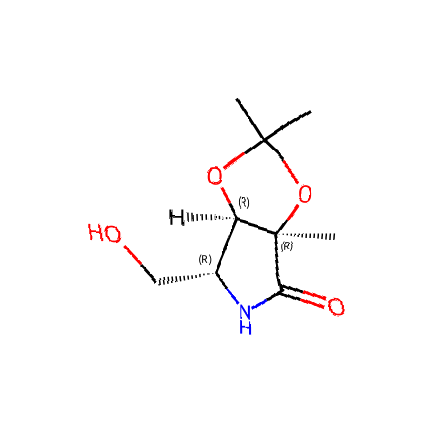 CC1(C)O[C@@H]2[C@@H](CO)NC(=O)[C@]2(C)O1